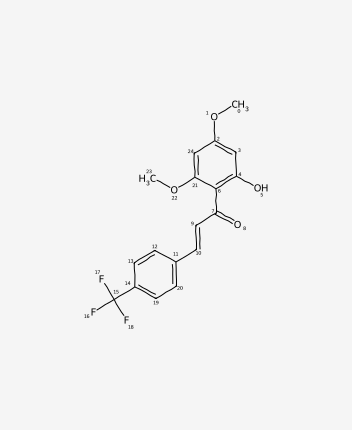 COc1cc(O)c(C(=O)C=Cc2ccc(C(F)(F)F)cc2)c(OC)c1